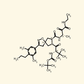 CCCc1c(C)cc(C2=NO[C@]3(C2)C[C@@H](C(=O)N[C@@H](C)C(=O)C(=O)NCC)N(C(=O)[C@@H](NC(=O)OC(C)(C)C)C(C)(C)C)C3)cc1C